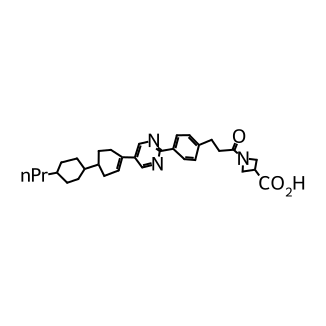 CCCC1CCC(C2CC=C(c3cnc(-c4ccc(CCC(=O)N5CC(C(=O)O)C5)cc4)nc3)CC2)CC1